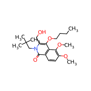 CCCCOc1c(CO)n(CC(C)(C)C)c(=O)c2ccc(OC)c(OC)c12